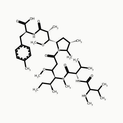 CC[C@H](C)[C@@H](C(CC(=O)N1C(C)[C@@H](C)C[C@H]1C(OC)[C@@H](C)C(=O)N[C@@H](Cc1ccc(C)cc1)C(=O)O)OC)N(C)C(=O)[C@@H](NC(=O)C(NC)C(C)C)C(C)C